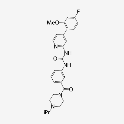 COc1cc(F)ccc1-c1ccnc(NC(=O)Nc2cccc(C(=O)N3CCN(C(C)C)CC3)c2)c1